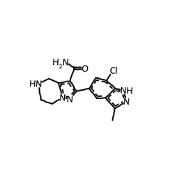 Cc1n[nH]c2c(Cl)cc(-c3nn4c(c3C(N)=O)CNCC4)cc12